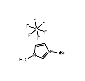 CCCC[n+]1ccn(C)c1.F[P-](F)(F)(F)(F)F